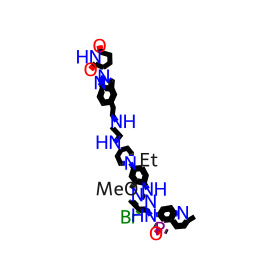 CCc1cc(Nc2ncc(Br)c(Nc3ccc4nc(C)ccc4c3P(C)(C)=O)n2)c(OC)cc1N1CCC(NCCNCCc2ccc3nn(C4CCC(=O)NC4=O)cc3c2)CC1